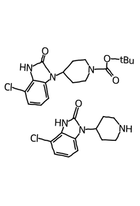 CC(C)(C)OC(=O)N1CCC(n2c(=O)[nH]c3c(Cl)cccc32)CC1.O=c1[nH]c2c(Cl)cccc2n1C1CCNCC1